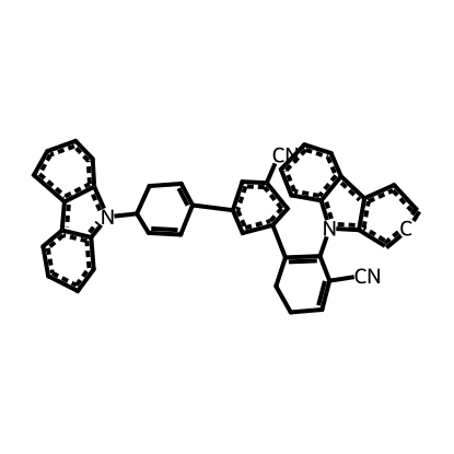 N#CC1=CCCC(c2cc(C#N)cc(C3=CCC(n4c5ccccc5c5ccccc54)C=C3)c2)=C1n1c2ccccc2c2ccccc21